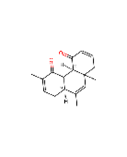 CC1=CC[C@@H]2C(C)=CC3(C)CC=CC(=O)[C@@H]3C2C1=O